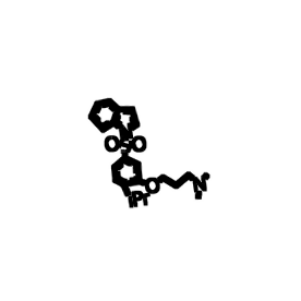 CC(C)c1ccc(S(=O)(=O)n2ccc3ccccc32)cc1OCCCN(C)C